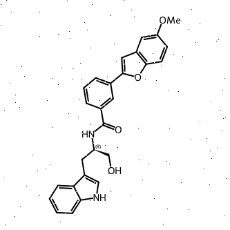 COc1ccc2oc(-c3cccc(C(=O)N[C@@H](CO)Cc4c[nH]c5ccccc45)c3)cc2c1